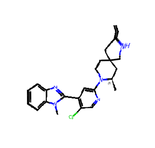 C=C1CC2(CCN(c3cc(-c4nc5ccccc5n4C)c(Cl)cn3)[C@H](C)C2)CN1